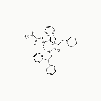 CNC(=O)O[C@H]1CCN(CC(c2ccccc2)c2ccccc2)C(=O)[C@@](CCN2CCCCC2)(Cc2ccccc2)N1